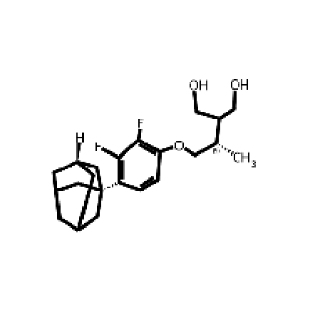 C[C@H](COc1ccc([C@]23CC4CC(C[C@H](C4)C2)C3)c(F)c1F)C(CO)CO